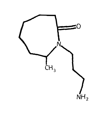 CC1CCCCCC(=O)N1CCCN